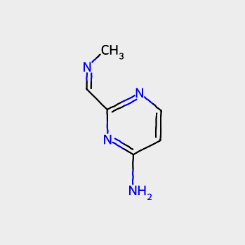 C/N=C\c1nccc(N)n1